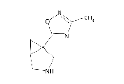 Cc1noc(C23CNCC2C3)n1